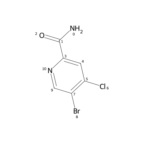 NC(=O)c1cc(Cl)c(Br)cn1